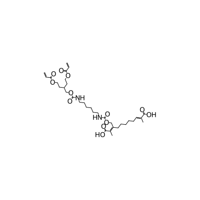 C=CC(=O)OCCC(CCOC(=O)C=C)COC(=O)NCCCCCCNC(=O)OC/C(CCCCC/C=C(\C)C(=O)O)=C(/C)C(=O)O